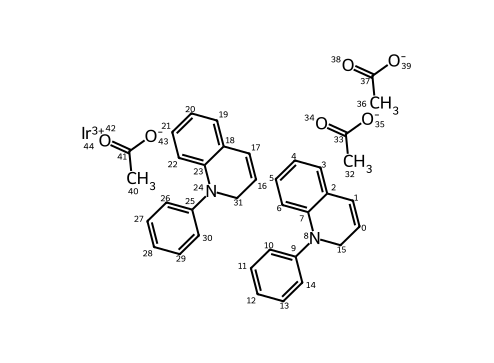 C1=Cc2ccccc2N(c2ccccc2)C1.C1=Cc2ccccc2N(c2ccccc2)C1.CC(=O)[O-].CC(=O)[O-].CC(=O)[O-].[Ir+3]